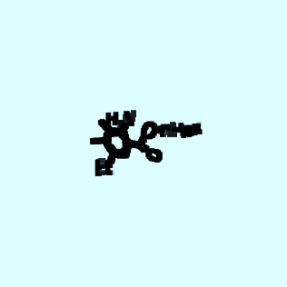 CCCCCCOC(=O)c1cc(CC)c(C)c(C)c1N